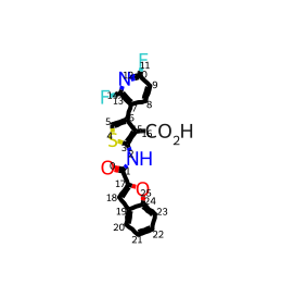 O=C(Nc1scc(-c2ccc(F)nc2F)c1C(=O)O)c1cc2ccccc2o1